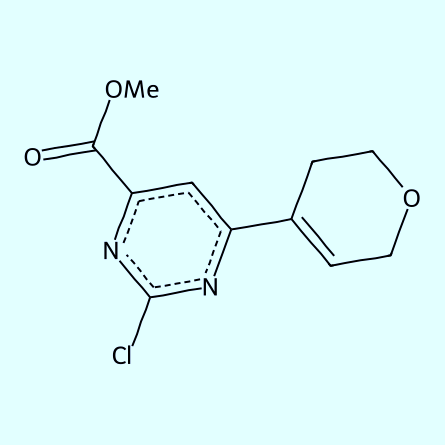 COC(=O)c1cc(C2=CCOCC2)nc(Cl)n1